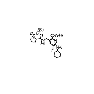 COc1nc(NC2CCCCC2)c(F)cc1CNC(=O)C1CCCN1C(=O)OC(C)(C)C